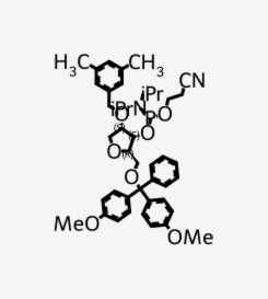 COc1ccc(C(OC[C@H]2OC[C@H](OCc3cc(C)cc(C)c3)[C@@H]2OP(OCCC#N)N(C(C)C)C(C)C)(c2ccccc2)c2ccc(OC)cc2)cc1